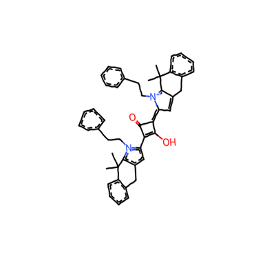 CC1(C)C2=[N+](CCc3ccccc3)/C(=C3\C(=O)C(c4cc5c(n4CCc4ccccc4)C(C)(C)c4ccccc4C5)=C3O)C=C2Cc2ccccc21